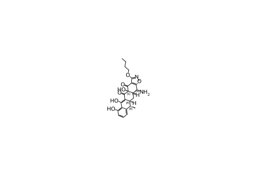 CCCCOc1noc2c1C(=O)[C@@]1(O)C(=O)C3=C(O)c4c(O)cccc4[C@H](C)[C@H]3C[C@H]1[C@@H]2N